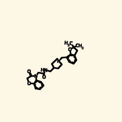 CC1(C)Cc2cccc(CN3CCC(CNC(=O)CN4C(=O)COc5ccccc54)CC3)c2O1